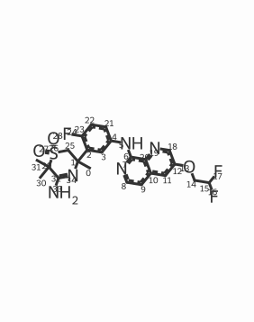 CC1(c2cc(Nc3nccc4cc(OCC(F)F)cnc34)ccc2F)CS(=O)(=O)C(C)(C)C(N)=N1